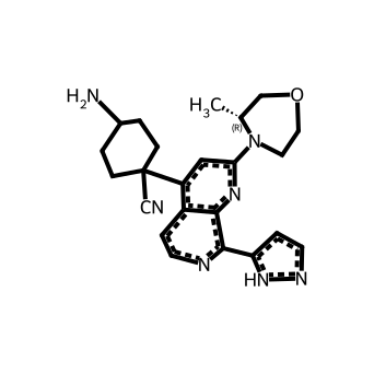 C[C@@H]1COCCN1c1cc(C2(C#N)CCC(N)CC2)c2ccnc(-c3ccn[nH]3)c2n1